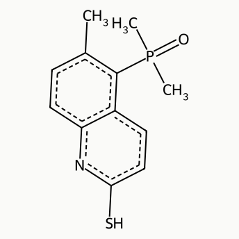 Cc1ccc2nc(S)ccc2c1P(C)(C)=O